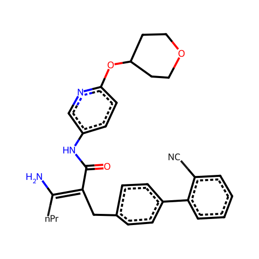 CCC/C(N)=C(\Cc1ccc(-c2ccccc2C#N)cc1)C(=O)Nc1ccc(OC2CCOCC2)nc1